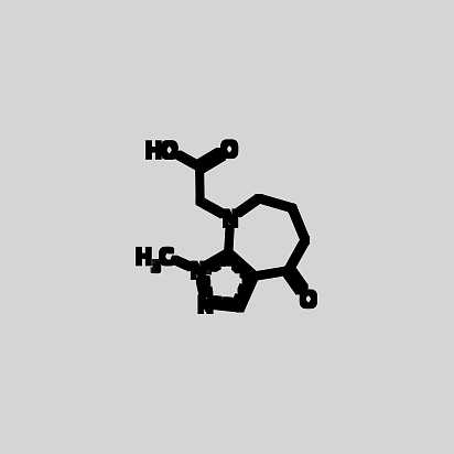 Cn1ncc2c1N(CC(=O)O)CCCC2=O